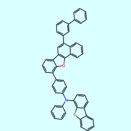 c1ccc(-c2cccc(-c3cc4c5cccc(-c6ccc(N(c7ccccc7)c7cccc8c7sc7ccccc78)cc6)c5oc4c4ccccc34)c2)cc1